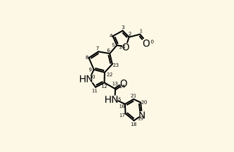 O=Cc1ccc(-c2ccc3[nH]cc(C(=O)Nc4ccncc4)c3c2)o1